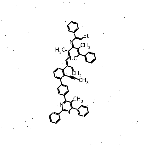 C=C\C(=C/C=C(C)/C(=N/C(=C/CC)c1ccccc1)C(/C)=C(\C)c1ccccc1)c1cccc(-c2ccc(-c3nc(-c4ccccc4)nc(-c4ccccc4)c3C)cc2)c1C#CC